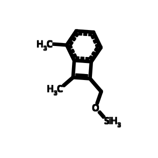 CC1=C(CO[SiH3])c2cccc(C)c21